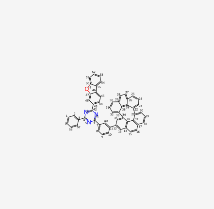 c1ccc(-c2nc(-c3cccc(-c4cc5ccc6cccc7c8cccc9ccc%10cccc(c(c4)c5c67)c%10c98)c3)nc(-c3ccc4c(c3)oc3ccccc34)n2)cc1